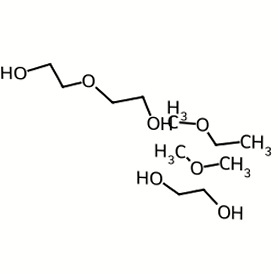 CCOC.COC.OCCO.OCCOCCO